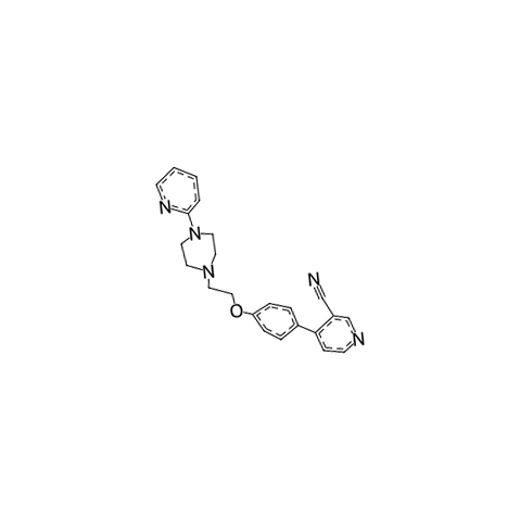 N#Cc1cnccc1-c1ccc(OCCN2CCN(c3ccccn3)CC2)cc1